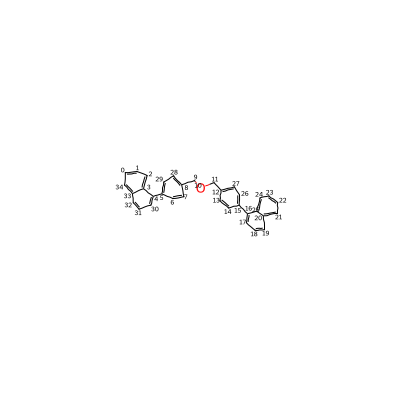 c1ccc2c(-c3ccc(COCc4ccc(-c5cccc6ccccc56)cc4)cc3)cccc2c1